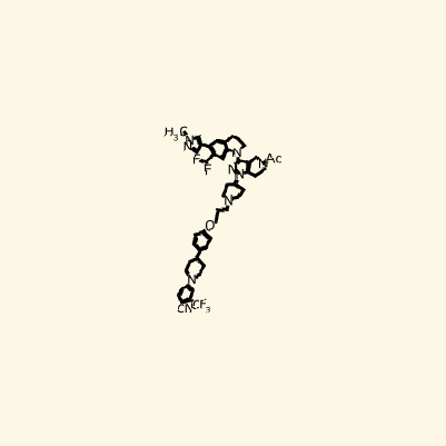 CC(=O)N1CCc2c(c(N3CCCc4cc(-c5cnn(C)c5)c(C(F)F)cc43)nn2C2CCN(CCCOc3ccc(C4CCN(c5ccc(C#N)c(C(F)(F)F)c5)CC4)cc3)CC2)C1